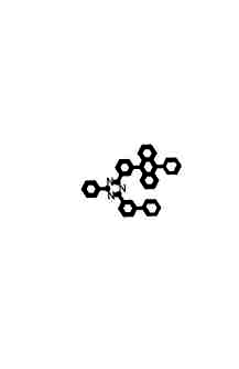 C1=CCC(c2c3ccccc3c(-c3cccc(-c4nc(-c5ccccc5)nc(-c5cccc(C6=CCCC=C6)c5)n4)c3)c3ccccc23)C=C1